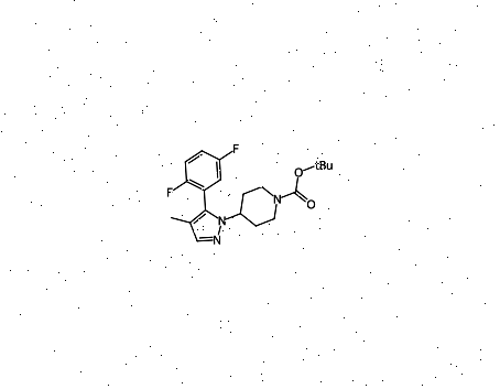 Cc1cnn(C2CCN(C(=O)OC(C)(C)C)CC2)c1-c1cc(F)ccc1F